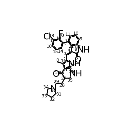 Cc1c(C=C2C(=O)Nc3cccc(-c4cccc(Cl)c4F)c32)[nH]c2c1C(=O)C(CCN1CCCC1)CN2